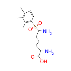 Cc1ccc(S(=O)(=O)C(N)CCC[C@H](N)C(=O)O)c(C)c1C